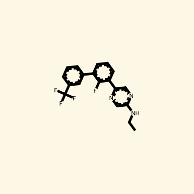 CCNc1cnc(-c2cccc(-c3cccc(C(F)(F)F)c3)c2F)cn1